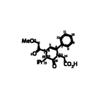 COCC(=O)N1C=C(c2ccccc2)N(CC(=O)O)C(=O)[C@H]1C(C)C